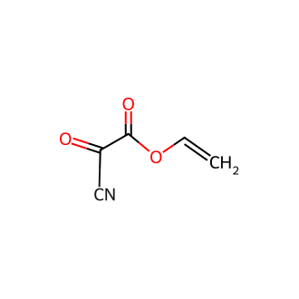 C=COC(=O)C(=O)C#N